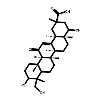 CC1(C(=O)O)CC(O)[C@]2(C)CC[C@]3(C)C(=CC(=O)[C@@H]4[C@@]5(C)CCC(O)C(C)(CO)C5CC[C@]43C)[C@H]2C1